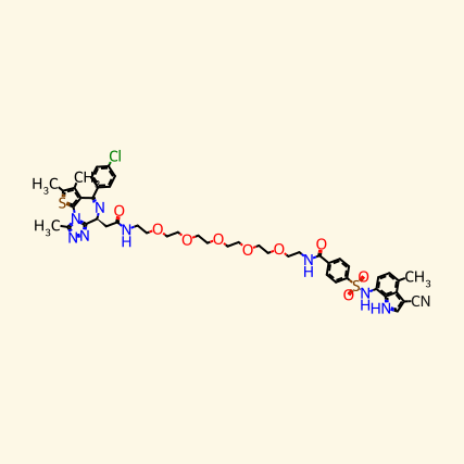 Cc1sc2c(c1C)C(c1ccc(Cl)cc1)=N[C@@H](CC(=O)NCCOCCOCCOCCOCCOCCNC(=O)c1ccc(S(=O)(=O)Nc3ccc(C)c4c(C#N)c[nH]c34)cc1)c1nnc(C)n1-2